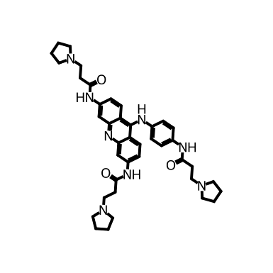 O=C(CCN1CCCC1)Nc1ccc(Nc2c3ccc(NC(=O)CCN4CCCC4)cc3nc3cc(NC(=O)CCN4CCCC4)ccc23)cc1